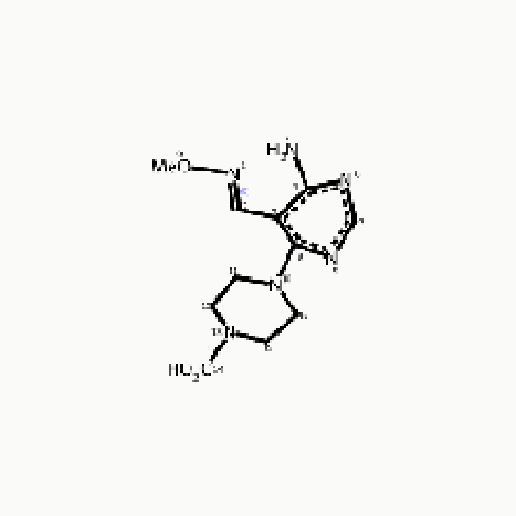 CO/N=C/c1c(N)ncnc1N1CCN(C(=O)O)CC1